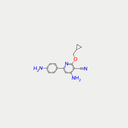 N#Cc1c(N)cc(-c2ccc(N)cc2)nc1OCC1CC1